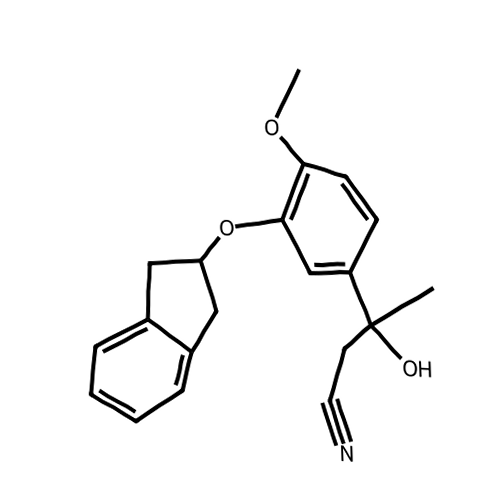 COc1ccc(C(C)(O)CC#N)cc1OC1Cc2ccccc2C1